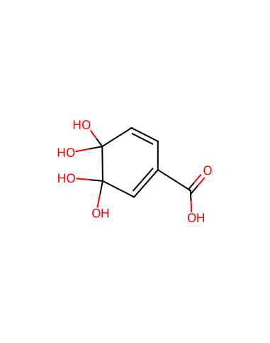 O=C(O)C1=CC(O)(O)C(O)(O)C=C1